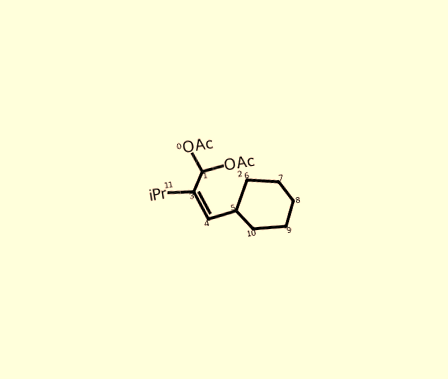 CC(=O)OC(OC(C)=O)C(=CC1CCCCC1)C(C)C